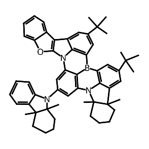 CC(C)(C)c1cc2c3c(c1)C1(C)CCCCC1(C)N3c1cc(N3c4ccccc4C4(C)CCCCC34C)cc3c1B2c1cc(C(C)(C)C)cc2c4c5ccccc5oc4n-3c12